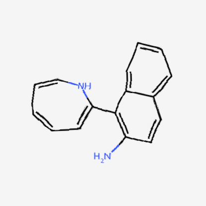 Nc1ccc2ccccc2c1C1=CC=CC=CN1